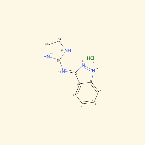 Cl.c1ccc2c(c1)N=NC2=NC1NCCN1